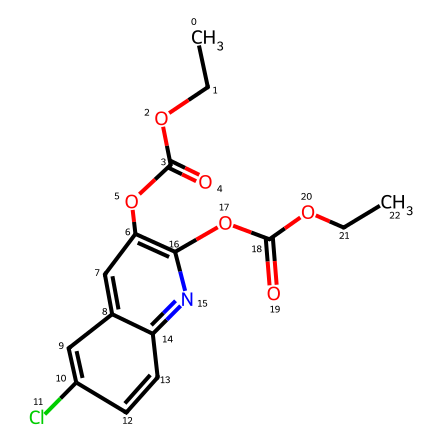 CCOC(=O)Oc1cc2cc(Cl)ccc2nc1OC(=O)OCC